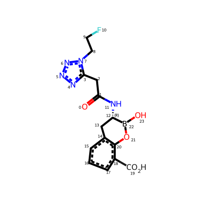 O=C(Cc1nnnn1CCF)N[C@H]1Cc2cccc(C(=O)O)c2OB1O